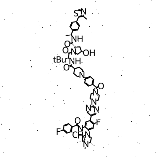 Cc1ncsc1-c1ccc([C@H](C)NC(=O)[C@@H]2C[C@@H](O)CN2C(=O)[C@@H](NC(=O)C2CCN(c3ccc(C(=O)N4CCN(c5ncc(-c6cc(NC(=O)c7ccc(F)cc7C(F)(F)F)c(N7C[C@@H](C)N(C)[C@@H](C)C7)cc6F)cn5)CC4)cc3)CC2)C(C)(C)C)cc1